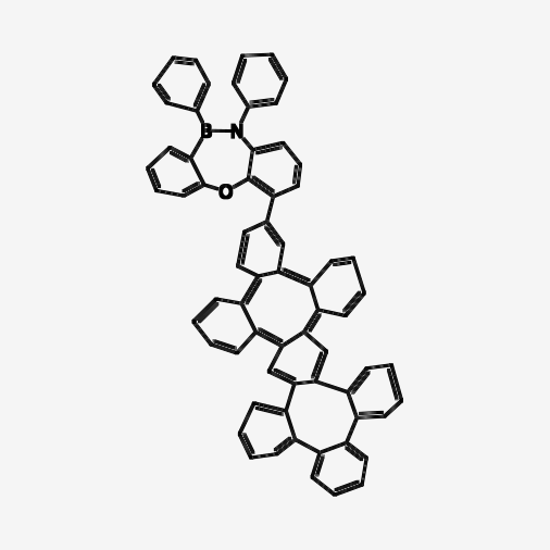 c1ccc(B2c3ccccc3Oc3c(-c4ccc5c6ccccc6c6cc7c8ccccc8c8ccccc8c8ccccc8c7cc6c6ccccc6c5c4)cccc3N2c2ccccc2)cc1